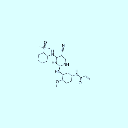 C=CC(=O)NC1CCC(OC)C(NC2NCC(C#N)C(NC3CCCCC3P(C)(C)=O)N2)C1